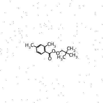 [CH2]C(C)(C)[CH]OOC(=O)c1ccc(C)cc1C